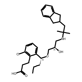 CCC[C@@H](OC[C@H](O)CNC(C)(C)CC1Cc2ccccc2C1)c1cccc(Cl)c1CCC(=O)O